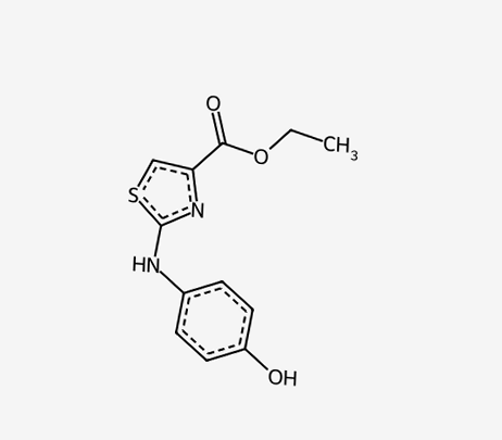 CCOC(=O)c1csc(Nc2ccc(O)cc2)n1